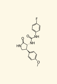 COc1ccc([C@H]2CNC(=O)[C@@H]2NC(=O)Nc2ccc(F)cc2)cc1